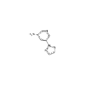 Nc1cncc(-n2nccn2)c1